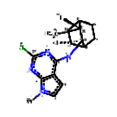 CC(C)n1ccc2c(N[C@@H]3C4CCC(CC4)[C@H]3C(=O)O)nc(Cl)nc21